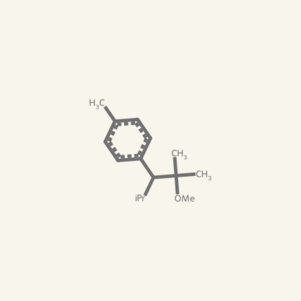 COC(C)(C)C(c1ccc(C)cc1)C(C)C